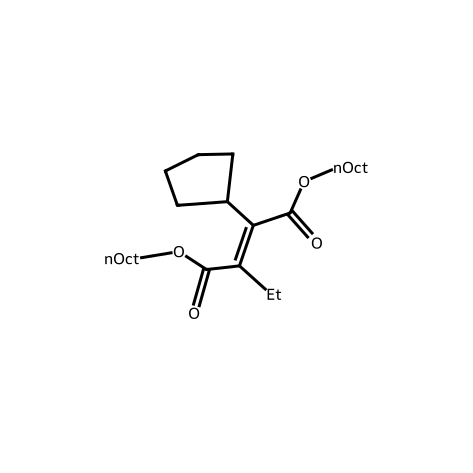 CCCCCCCCOC(=O)C(CC)=C(C(=O)OCCCCCCCC)C1CCCC1